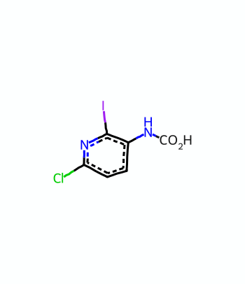 O=C(O)Nc1ccc(Cl)nc1I